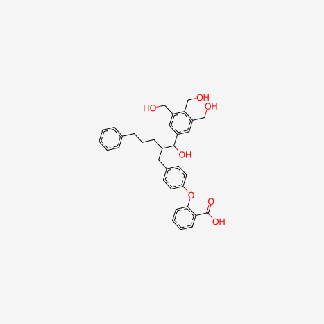 O=C(O)c1ccccc1Oc1ccc(CC(CCCc2ccccc2)C(O)c2cc(CO)c(CO)c(CO)c2)cc1